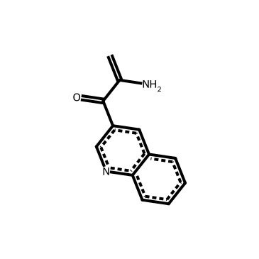 C=C(N)C(=O)c1cnc2ccccc2c1